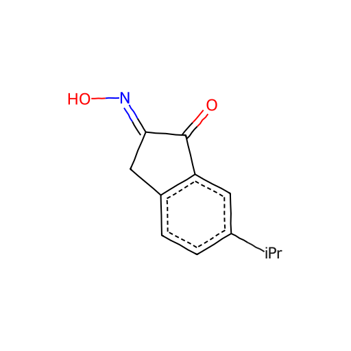 CC(C)c1ccc2c(c1)C(=O)C(=NO)C2